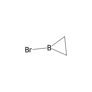 BrB1CC1